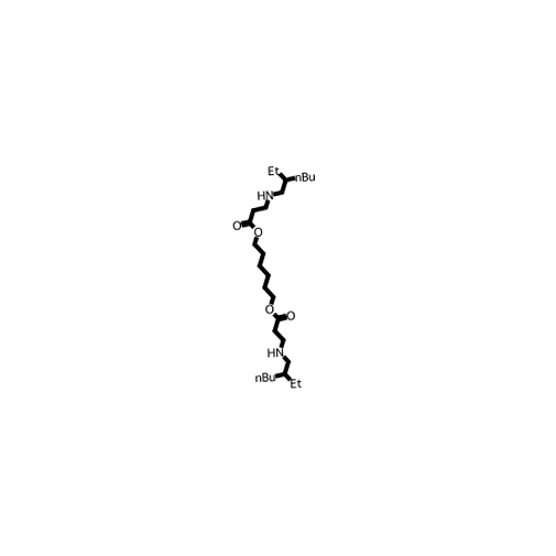 CCCCC(CC)CNCCC(=O)OCCCCCCOC(=O)CCNCC(CC)CCCC